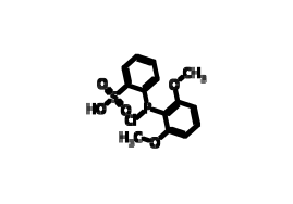 COc1cccc(OC)c1P(Cl)c1ccccc1S(=O)(=O)O